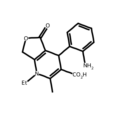 CCN1C(C)=C(C(=O)O)C(c2ccccc2N)C2=C1COC2=O